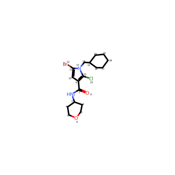 O=C(NC1CCOCC1)c1cc(Br)n(CC2CCCCC2)c1Cl